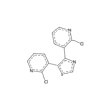 Clc1ncccc1-c1ncsc1-c1cccnc1Cl